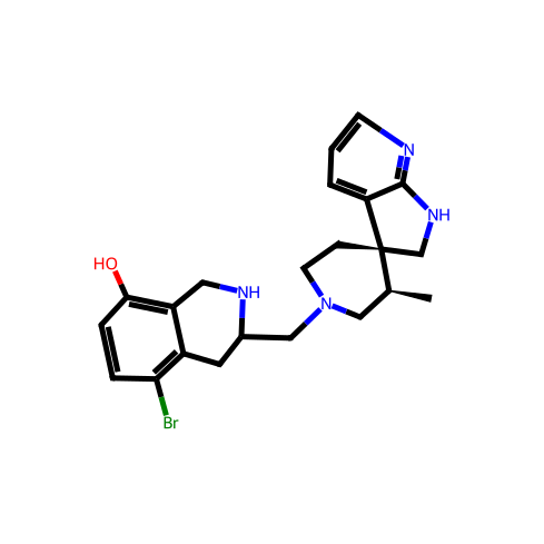 C[C@H]1CN(CC2Cc3c(Br)ccc(O)c3CN2)CC[C@@]12CNc1ncccc12